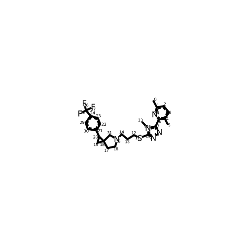 Cc1ccc(C)c(-c2nnc(SCCCN3CCC4(CC4c4ccc(C(F)(F)F)cc4)C3)n2C)n1